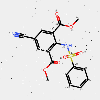 COC(=O)c1cc(C#N)cc(C(=O)OC)c1NS(=O)(=O)c1ccccc1